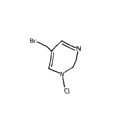 ClN1C=C(Br)C=NC1